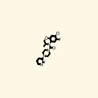 CC1COc2cc(Cl)c(F)cc2N1C(=O)N1CCN(c2cccnn2)CC1